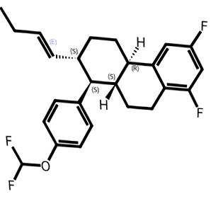 CC/C=C/[C@@H]1CC[C@H]2c3cc(F)cc(F)c3CC[C@@H]2[C@H]1c1ccc(OC(F)F)cc1